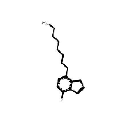 CCCCCCCCc1ccc(Br)c2c1CC=C2